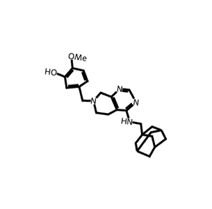 COc1ccc(CN2CCc3c(ncnc3NCC34CC5CC(CC(C5)C3)C4)C2)cc1O